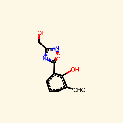 O=Cc1cccc(-c2nc(CO)no2)c1O